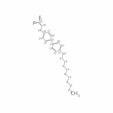 CCCCCCCCCCCc1ccc(-c2ccc(CC=C(F)F)cc2)cc1